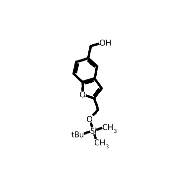 CC(C)(C)[Si](C)(C)OCc1cc2cc(CO)ccc2o1